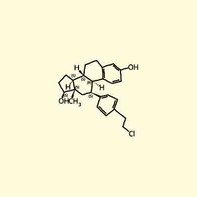 C[C@]12C[C@H](c3ccc(CCCl)cc3)[C@@H]3c4ccc(O)cc4CC[C@H]3[C@@H]1CC[C@@H]2O